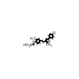 Cc1cc(CCc2cc(-c3ccc(Cl)cc3)oc2C)ccc1OCC(=O)O